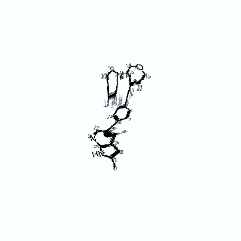 Cc1cc2cc(-c3ccc(C4CCOCC4)c([C@@H]4CCCN4)c3)cnc2[nH]1